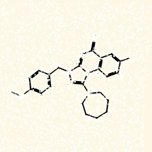 COc1ccc(Cn2nc(N3CCCCCC3)n3c4ccc(Cl)cc4c(=O)nc23)cc1